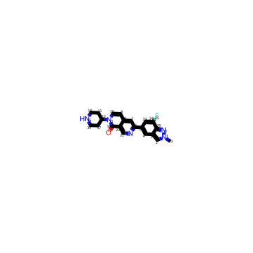 Cn1cc2cc(-c3cc4ccn(C5CCNCC5)c(=O)c4cn3)cc(F)c2n1